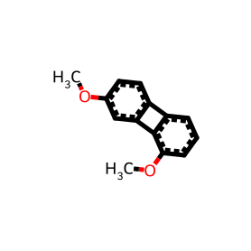 COc1ccc2c(c1)-c1c(OC)cccc1-2